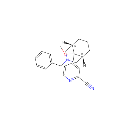 COC1(c2ccnc(C#N)c2)[C@@H]2CCC[C@H]1CN(Cc1ccccc1)C2